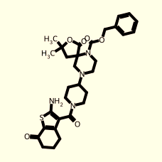 CC1(C)CC2(CN(C3CCN(C(=O)c4c(N)sc5c4CCCC5=O)CC3)CCN2C(=O)OCc2ccccc2)C(=O)O1